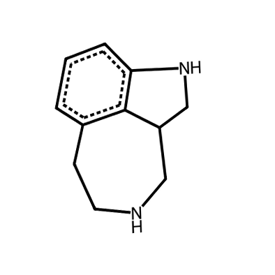 c1cc2c3c(c1)NCC3CNCC2